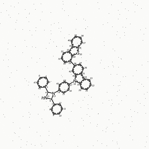 c1ccc(C2NC(c3ccccc3)N2c2ccc(-n3c4ccccc4c4ccc(-c5cccc6c5sc5ccccc56)cc43)cc2)cc1